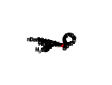 CCCCCCCCCCCC(=O)OCCCCCCN(CCCCCCOC(=O)OC1CCCCCCCCCCCCCCC1)CC(CN1CCN(C)CC1)OCCO